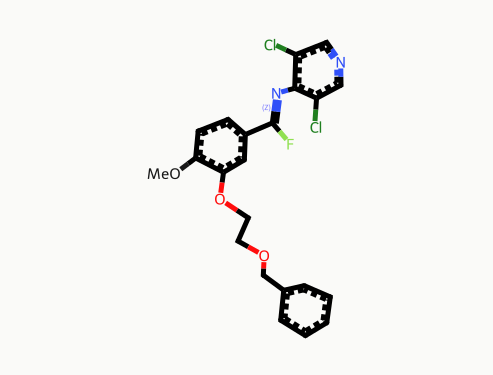 COc1ccc(/C(F)=N/c2c(Cl)cncc2Cl)cc1OCCOCc1ccccc1